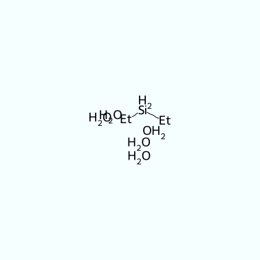 CC[SiH2]CC.O.O.O.O.O